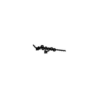 CCCCCCCCCCCCOCCOCCOCCOCCOC(=O)CCN1CC[N+](C)(CCCCCC)CC1.[Br-]